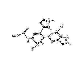 COC(=O)Nc1nc(-c2ccn(C)n2)c(-c2cc(Cl)c3[nH]ncc3c2)nc1C#N